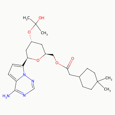 CC1(C)CCC(CC(=O)OC[C@@H]2C[C@@H](OC(C)(C)O)C[C@H](c3ccc4c(N)ncnn34)O2)CC1